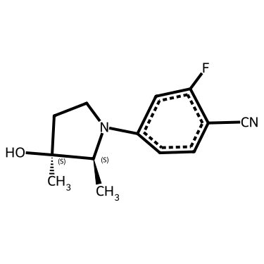 C[C@@H]1N(c2ccc(C#N)c(F)c2)CC[C@]1(C)O